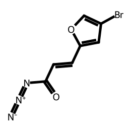 [N-]=[N+]=NC(=O)C=Cc1cc(Br)co1